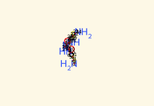 NCCSc1ccc(NC(=O)c2cc(C(=O)Nc3ccc(SCCN)cc3)ncn2)cc1